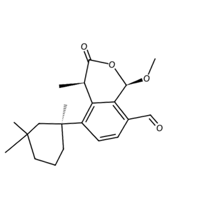 CO[C@@H]1OC(=O)[C@H](C)c2c([C@@]3(C)CCCC(C)(C)C3)ccc(C=O)c21